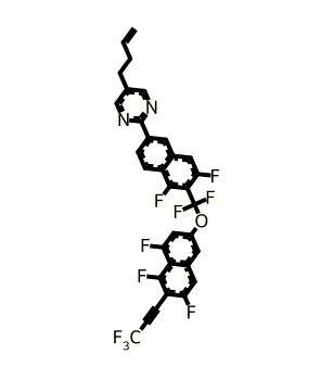 C=CCCc1cnc(-c2ccc3c(F)c(C(F)(F)Oc4cc(F)c5c(F)c(C#CC(F)(F)F)c(F)cc5c4)c(F)cc3c2)nc1